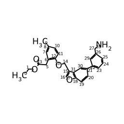 CCOC(=O)Cc1cc(C)ccc1OCc1coc2ccc(-c3cccc(CN)c3)cc12